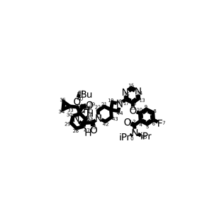 CC(C)N(C(=O)c1cc(F)ccc1Oc1cncnc1N1CC2(CCN(C(=O)[C@@H]3[C@@H]4CCC([C@@H](CC5CC5)C4)N3C(=O)OC(C)(C)C)CC2)C1)C(C)C